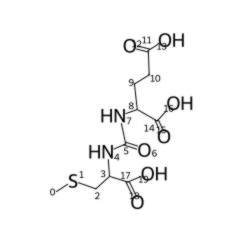 CSCC(NC(=O)NC(CCC(=O)O)C(=O)O)C(=O)O